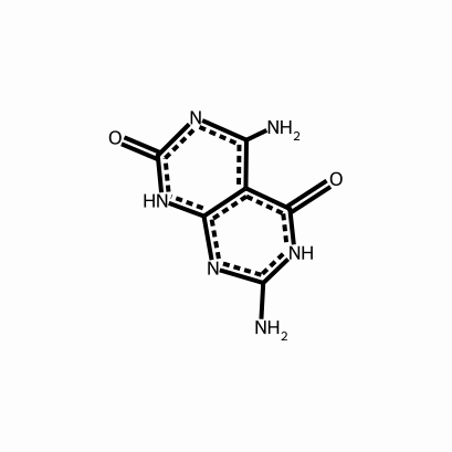 Nc1nc2[nH]c(=O)nc(N)c2c(=O)[nH]1